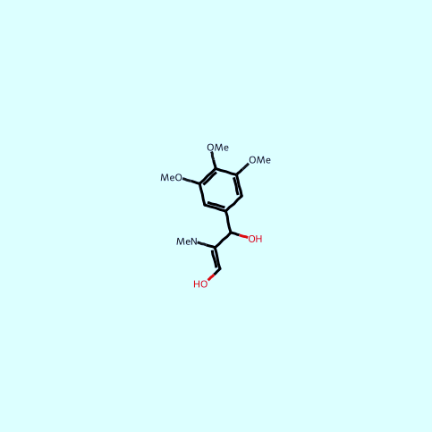 CN/C(=C\O)C(O)c1cc(OC)c(OC)c(OC)c1